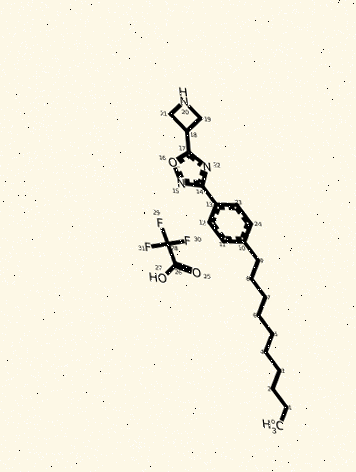 CCCCCCCCCCc1ccc(-c2noc(C3CNC3)n2)cc1.O=C(O)C(F)(F)F